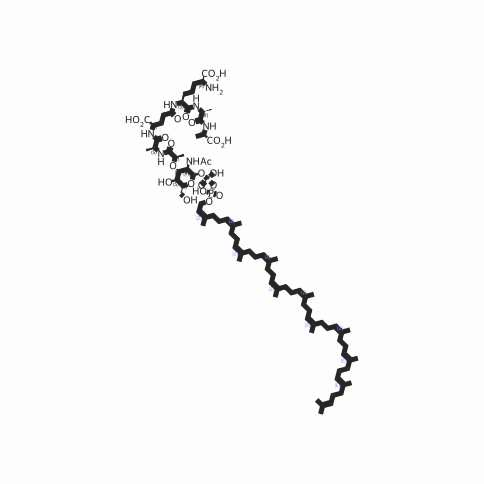 CC(=O)N[C@H]1[C@@H](OP(=O)(O)OP(=O)(O)OC/C=C(/C)CC/C=C(/C)CC/C=C(/C)CC/C=C(/C)CC/C=C(/C)CC/C=C(/C)CC/C=C(/C)CC/C=C(/C)CC/C=C(\C)CC/C=C(\C)CCC=C(C)C)O[C@H](CO)[C@@H](O)[C@@H]1O[C@H](C)C(=O)N[C@@H](C)C(=O)N[C@H](CCC(=O)N[C@@H](CCC[C@@H](N)C(=O)O)C(=O)N[C@H](C)C(=O)N[C@H](C)C(=O)O)C(=O)O